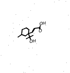 CC1CCCC(C=CC(=O)O)(C(C)(C)O)C1